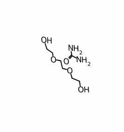 NC(N)=O.OCCOCCOCCO